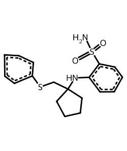 NS(=O)(=O)c1ccccc1NC1(CSc2ccccc2)CCCC1